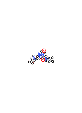 c1ccc(-c2nc(-c3cccc4oc5ccc(-c6ccc7c(c6)c6ccc8c(c6n7-c6ccccc6)-c6ccccc6C86c7ccccc7-c7ccccc76)cc5c34)nc(-c3cccc4oc5ccc(-c6ccc7c(c6)c6ccc8c(c6n7-c6ccccc6)-c6ccccc6C86c7ccccc7-c7ccccc76)cc5c34)n2)cc1